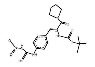 CC(C)(C)OC(=O)N[C@@H](Cc1ccc(NC(=N)N[N+](=O)[O-])cc1)C(=O)N1CCCC1